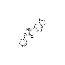 O=C[C@H](Cc1nccs1)NC(=O)Oc1ccccc1